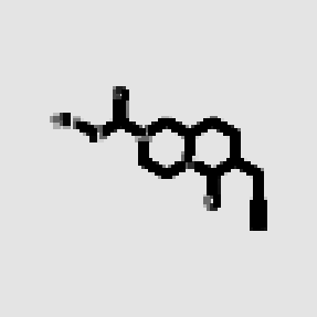 C#CCC1CCC2CN(C(=O)OC(C)(C)C)CCN2C1=O